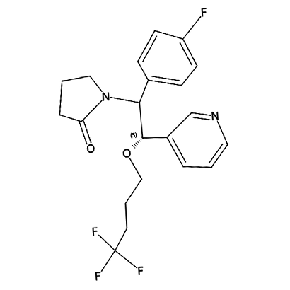 O=C1CCCN1C(c1ccc(F)cc1)[C@@H](OCCCC(F)(F)F)c1cccnc1